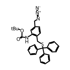 CC(C)(C)OC(=O)Nc1cc(CN=[N+]=[N-])ccc1CSC(c1ccccc1)(c1ccccc1)c1ccccc1